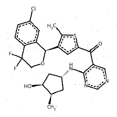 [CH2][C@@H]1C[C@@H](Nc2ncncc2C(=O)c2cc([C@H]3OCC(F)(F)c4ccc(Cl)cc43)c(C)s2)C[C@@H]1O